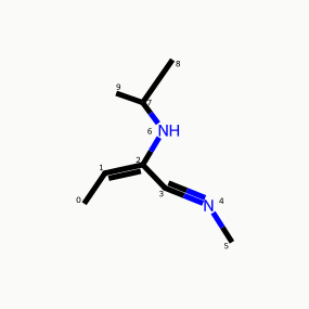 C/C=C(\C=N\C)NC(C)C